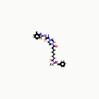 CC(=O)N(OCc1ccccc1)C(=O)CCCCCCC(=O)N1CCN(CC(=O)Nc2nc3c(C)cccc3s2)CC1